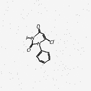 O=c1cc(Cl)n(-c2ccccc2)c(=O)n1I